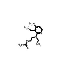 CCc1c(N)ccnc1N(CC)CCOC(C)=O